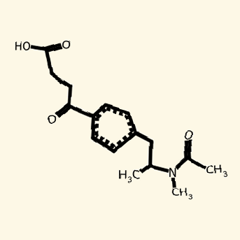 CC(=O)N(C)C(C)Cc1ccc(C(=O)CCC(=O)O)cc1